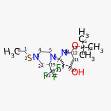 CCSN1CCN(c2cc(O)cc(OC(C)(C)C)n2)C(C(F)(F)F)C1